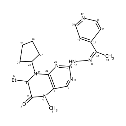 CCC1C(=O)N(C)c2cnc(NN=C(C)c3ccncc3)nc2N1C1CCCC1